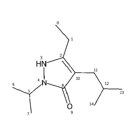 CCc1[nH]n(C(C)C)c(=O)c1CC(C)C